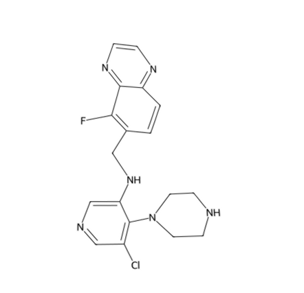 Fc1c(CNc2cncc(Cl)c2N2CCNCC2)ccc2nccnc12